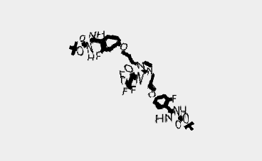 CC(C)(C)OC(=O)NC(=N)c1ccc(OCCCn2ccn(CCCOc3ccc(C(=N)NC(=O)OC(C)(C)C)c(F)c3)c2=NC(=O)C(F)(F)F)cc1F